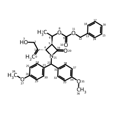 C=C(CO)[C@@H]1[C@@H](C(C)OC(=O)OCc2ccccc2)C(=O)N1C(c1ccc(OC)cc1)c1ccc(OC)cc1